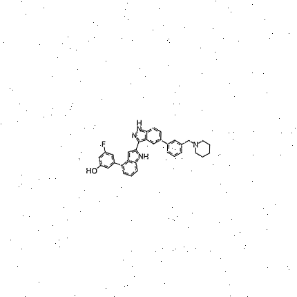 Oc1cc(F)cc(-c2cccc3[nH]c(-c4n[nH]c5ccc(-c6cccc(CN7CCCCC7)c6)cc45)cc23)c1